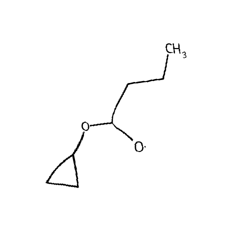 CCCC([O])OC1CC1